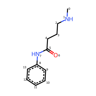 CNCCCC(=O)Nc1ccccc1